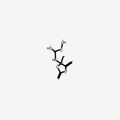 C=C1OC(=C)C(C)(BC(O)OO)O1